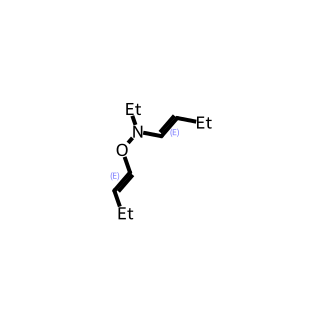 CC/C=C/ON(/C=C/CC)CC